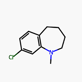 CN1CCCCc2ccc(Cl)cc21